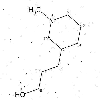 CN1CCCC(CCCO)C1